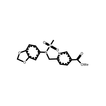 COC(=O)c1ccc(CN(c2ccc3c(c2)OCO3)S(C)(=O)=O)nc1